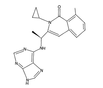 Cc1cccc2cc([C@H](C)Nc3ncnc4[nH]cnc34)n(C3CC3)c(=O)c12